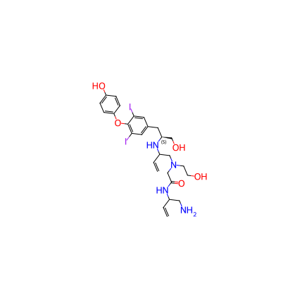 C=CC(CN)NC(=O)CN(CCO)CC(C=C)N[C@H](CO)Cc1cc(I)c(Oc2ccc(O)cc2)c(I)c1